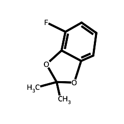 CC1(C)Oc2cccc(F)c2O1